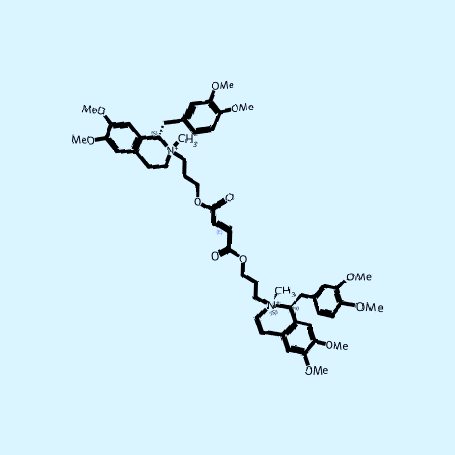 COc1ccc(C[C@H]2c3cc(OC)c(OC)cc3CC[N+]2(C)CCCOC(=O)/C=C/C(=O)OCCC[N@+]2(C)CCc3cc(OC)c(OC)cc3[C@@H]2Cc2ccc(OC)c(OC)c2)cc1OC